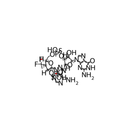 Nc1nc2c(ncn2[C@@H]2O[C@@H]3COP(O)(=S)O[C@H]4[C@H](n5nnc6c(N)ncnc65)O[C@H](COP(O)(=S)O[C@H]3[C@H]2O)[C@@]42CC2(F)F)c(=O)[nH]1